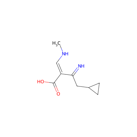 CN/C=C(\C(=N)CC1CC1)C(=O)O